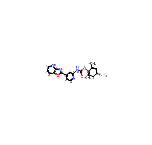 CC1=CC(C)CC(C)=C1OC(=O)Nc1cc(-c2nc3ncccc3o2)ccn1